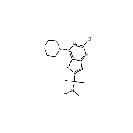 CN(C)C(C)(C)c1cc2nc(Cl)nc(N3CCOCC3)c2s1